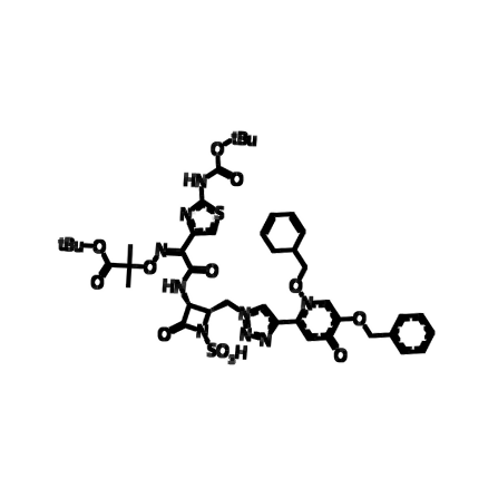 CC(C)(C)OC(=O)Nc1nc(/C(=N/OC(C)(C)C(=O)OC(C)(C)C)C(=O)N[C@@H]2C(=O)N(S(=O)(=O)O)[C@@H]2Cn2cc(-c3cc(=O)c(OCc4ccccc4)cn3OCC3C=CC=CC3)nn2)cs1